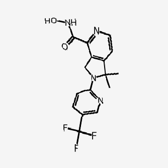 CC1(C)c2ccnc(C(=O)NO)c2CN1c1ccc(C(F)(F)F)cn1